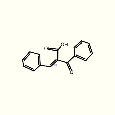 O=C(O)/C(=C\c1ccccc1)C(=O)c1ccccc1